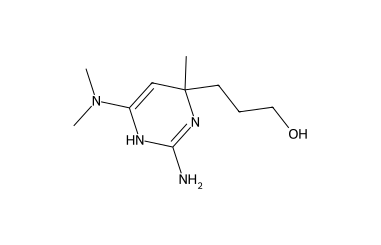 CN(C)C1=CC(C)(CCCO)N=C(N)N1